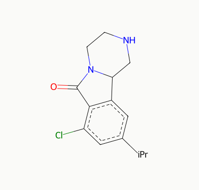 CC(C)c1cc(Cl)c2c(c1)C1CNCCN1C2=O